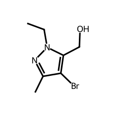 CCn1nc(C)c(Br)c1CO